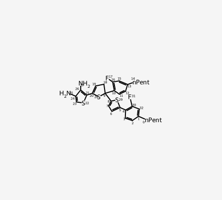 CCCCCc1ccc(-c2ccc(C3(c4ccc(CCCCC)cc4F)CC=C(c4scc(N)c4N)S3)s2)c(F)c1